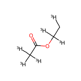 [3H]CC([3H])([3H])OC(=O)C([3H])([3H])[3H]